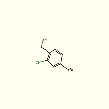 CC(C)Cc1ccc(C(C)(C)C)cc1Cl